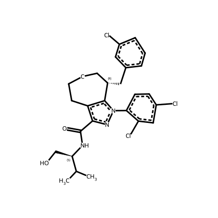 CC(C)[C@@H](CO)NC(=O)c1nn(-c2ccc(Cl)cc2Cl)c2c1CCCC[C@@H]2Cc1cccc(Cl)c1